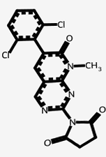 Cn1c(=O)c(-c2c(Cl)cccc2Cl)cc2cnc(N3C(=O)CCC3=O)nc21